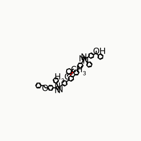 CC12CCCC(C)(CCC1)C21c2cc(-c3ccc(-c4nnc(-c5ccc(OCc6ccccc6)cc5)n4-c4ccccc4)cc3)ccc2-c2ccc(-c3ccc(-c4nnc(-c5ccc(C(O)c6ccccc6)cc5)n4-c4ccccc4)cc3)cc21